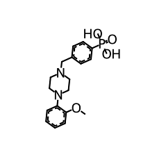 COc1ccccc1N1CCN(Cc2ccc(P(=O)(O)O)cc2)CC1